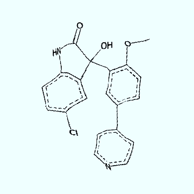 COc1ccc(-c2ccncc2)cc1C1(O)C(=O)Nc2ccc(Cl)cc21